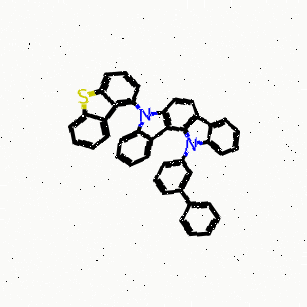 c1ccc(-c2cccc(-n3c4ccccc4c4ccc5c(c6ccccc6n5-c5cccc6sc7ccccc7c56)c43)c2)cc1